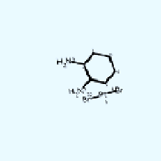 NC1CCCCC1N.[Br][Pt][Br]